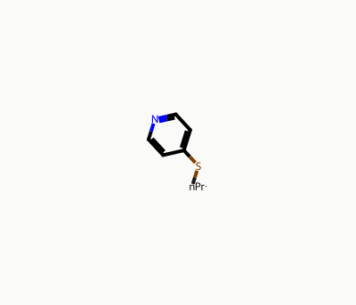 CC[CH]Sc1ccncc1